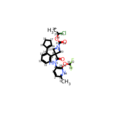 Cc1ccc(NC(=O)C2(c3ccccc3C3=CCCC3)CN(C(=O)OC(C)Cl)C2)c(OC(F)F)n1